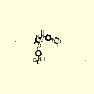 CC(=O)N[C@H]1CC[C@H](COc2nc(Nc3ccc(N4C[C@@H](C)O[C@@H](C)C4)cc3)ncc2C)CC1